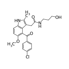 COc1ccc2[nH]c(C)c(CC(=O)NCCCO)c2c1C(=O)c1ccc(Cl)cc1